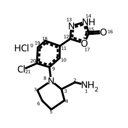 Cl.NCC1CCCCN1c1cc(-c2n[nH]c(=O)o2)ccc1Cl